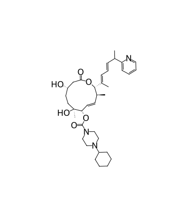 C/C(=C\C=C\C(C)c1ccccn1)[C@H]1OC(=O)C[C@@H](O)CC[C@](C)(O)[C@@H](OC(=O)N2CCN(C3CCCCC3)CC2)/C=C/[C@@H]1C